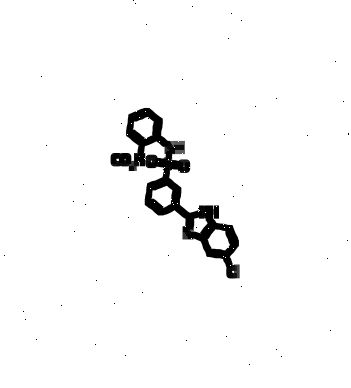 O=C(O)c1ccccc1NS(=O)(=O)c1cccc(-c2nc3cc(Cl)ccc3[nH]2)c1